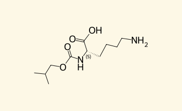 CC(C)COC(=O)N[C@@H](CCCCN)C(=O)O